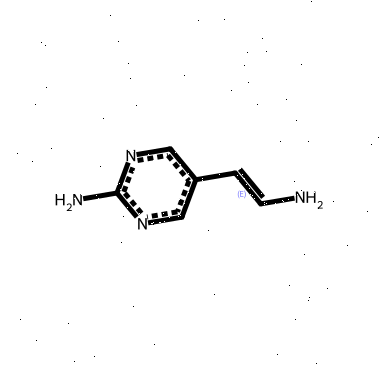 N/C=C/c1cnc(N)nc1